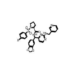 O=C(NC(c1ccc2c(c1)OCO2)c1ccnc(NCc2cccnc2)n1)[C@@H]1CCCN1S(=O)(=O)c1ccc(F)cc1